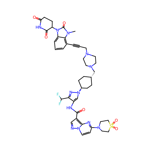 Cn1c(=O)n(C2CCC(=O)NC2=O)c2cccc(C#CCN3CCN(C[C@H]4CC[C@H](n5cc(NC(=O)c6cnn7ccc(N8CCS(=O)(=O)CC8)nc67)c(C(F)F)n5)CC4)CC3)c21